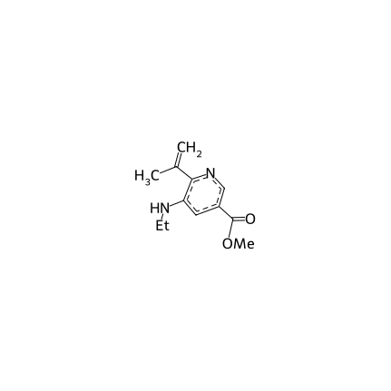 C=C(C)c1ncc(C(=O)OC)cc1NCC